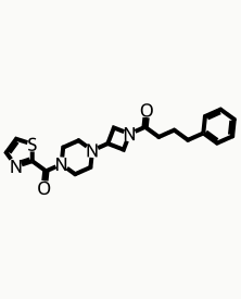 O=C(CCCc1ccccc1)N1CC(N2CCN(C(=O)c3nccs3)CC2)C1